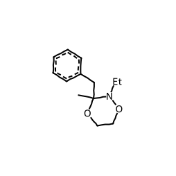 CCN1OCCOC1(C)Cc1ccccc1